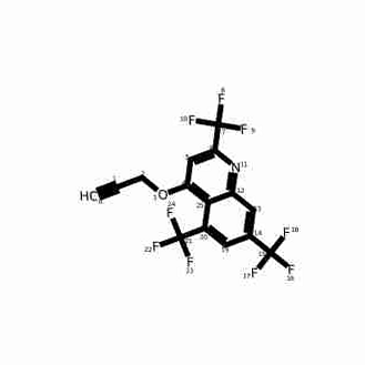 C#CCOc1cc(C(F)(F)F)nc2cc(C(F)(F)F)cc(C(F)(F)F)c12